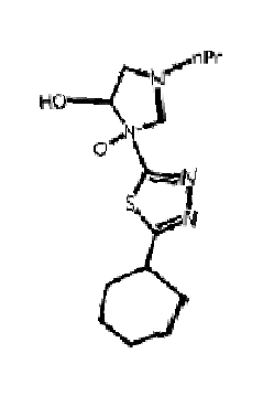 CCCN1CC(O)[N+]([O-])(c2nnc(C3CCCCC3)s2)C1